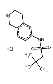 CC(C)(O)CS(=O)(=O)Nc1ccc2c(c1)CCNC2.Cl